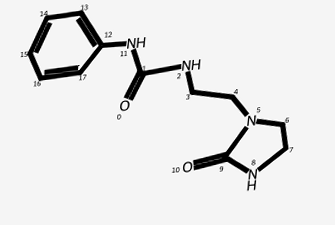 O=C(NCCN1CCNC1=O)Nc1ccccc1